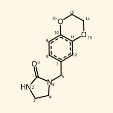 O=C1NCCN1Cc1ccc2c(c1)OCCO2